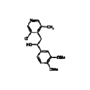 COc1ccc(C(O)Cc2c(C)cncc2Cl)cc1OC